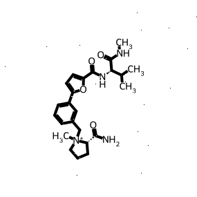 CNC(=O)[C@@H](NC(=O)c1ccc(-c2cccc(C[N+]3(C)CCC[C@H]3C(N)=O)c2)o1)C(C)C